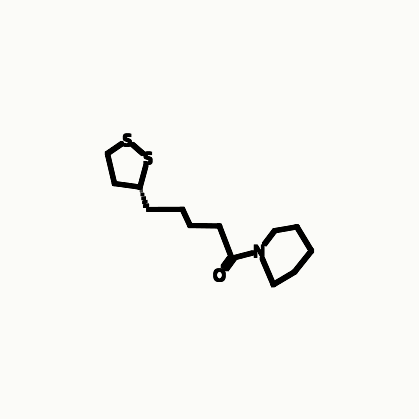 O=C(CCCC[C@@H]1CCSS1)N1CCCCC1